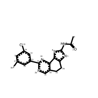 CC(=O)Nc1nc2c(s1)-c1nc(-c3cc(Cl)cc(I)c3)ncc1CC2